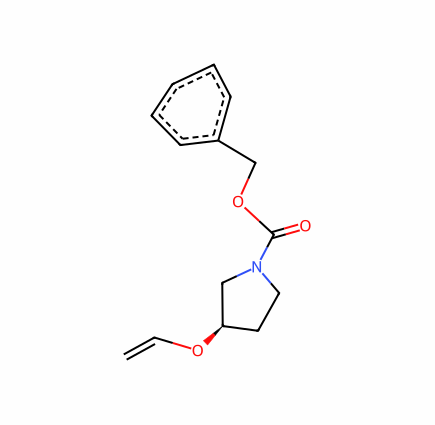 C=CO[C@@H]1CCN(C(=O)OCc2ccccc2)C1